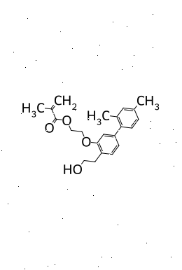 C=C(C)C(=O)OCCOc1cc(-c2ccc(C)cc2C)ccc1CCO